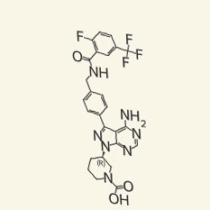 Nc1ncnc2c1c(-c1ccc(CNC(=O)c3cc(C(F)(F)F)ccc3F)cc1)nn2[C@@H]1CCCN(C(=O)O)C1